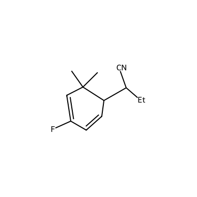 CCC(C#N)C1C=CC(F)=CC1(C)C